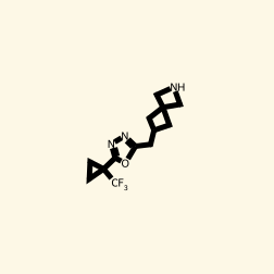 FC(F)(F)C1(c2nnc(CC3CC4(CNC4)C3)o2)CC1